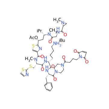 CC[C@H](C)C(NC(=O)C1CN1C)C(=O)N(C)[C@H](C[C@@H](OC(C)=O)c1nc(C(=O)N(C)[C@@H](CSc2nccs2)C(=O)N[C@H](CCCCN)C(=O)N[C@@H](Cc2ccccc2)C(=O)N2CCN(C(=O)CCCN3C(=O)C=CC3=O)CC2)cs1)C(C)C